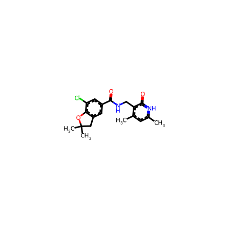 Cc1cc(C)c(CNC(=O)c2cc(Cl)c3c(c2)CC(C)(C)O3)c(=O)[nH]1